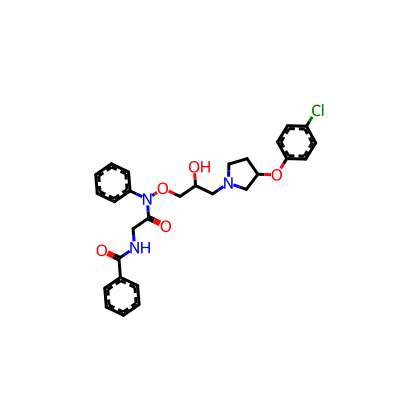 O=C(NCC(=O)N(OCC(O)CN1CCC(Oc2ccc(Cl)cc2)C1)c1ccccc1)c1ccccc1